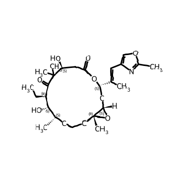 CC[C@H]1C(=O)C(C)(C)[C@@H](O)CC(=O)O[C@H](C(C)=Cc2coc(C)n2)C[C@@H]2O[C@]2(C)CCC[C@H](C)[C@@H]1O